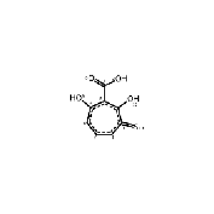 O=C(O)c1c(O)cccc(=S)c1O